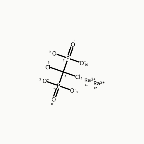 O=P([O-])([O-])C(Cl)(Cl)P(=O)([O-])[O-].[Ra+2].[Ra+2]